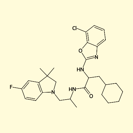 CC(CN1CC(C)(C)c2cc(F)ccc21)NC(=O)C(CC1CCCCC1)Nc1nc2cccc(Cl)c2o1